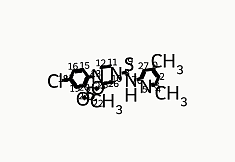 Cc1cc(C)nc(NC(=S)N2CCN(c3ccc(Cl)cc3S(C)(=O)=O)CC2)c1